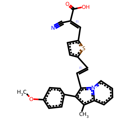 COc1ccc(-c2c(C)c3ccccn3c2/C=C/c2ccc(/C=C(\C#N)C(=O)O)s2)cc1